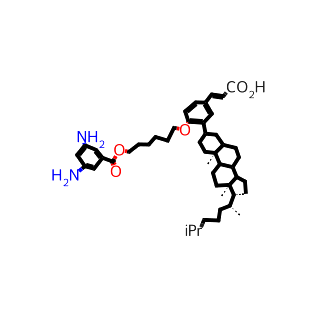 CC(C)CCC[C@@H](C)[C@H]1CCC2C3CCC4CC(c5cc(C=CC(=O)O)ccc5OCCCCCCOC(=O)c5cc(N)cc(N)c5)CC[C@]4(C)C3CC[C@@]21C